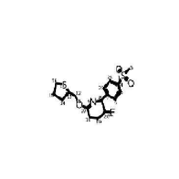 CS(=O)(=O)c1ccc(C2N=C(OCC3CCCS3)CCC2F)cc1